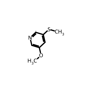 COc1cn[c]c(SC)c1